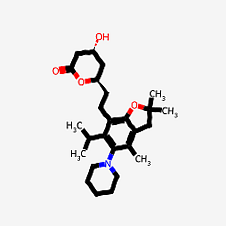 Cc1c2c(c(CC[C@@H]3C[C@@H](O)CC(=O)O3)c(C(C)C)c1N1CCCCC1)OC(C)(C)C2